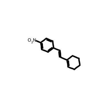 O=[N+]([O-])c1ccc(/C=C/C2=CCCCC2)cc1